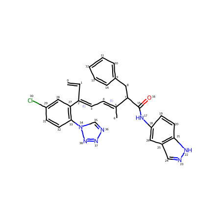 C=C/C(=C\C=C(/C)C(Cc1ccccc1)C(=O)Nc1ccc2[nH]ncc2c1)c1cc(Cl)ccc1-n1cnnn1